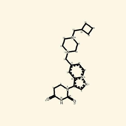 O=C1CCN(c2cnn3ccc(CN4CCN(CC5CCC5)CC4)cc23)C(=O)N1